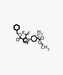 CCOC(=O)[C@]1(C)CC[C@@H](n2ncc(C(=O)OCc3ccccc3)c2C(F)F)CC1